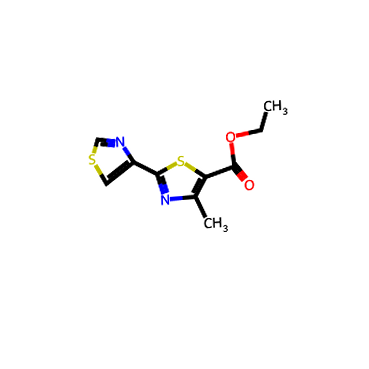 CCOC(=O)c1sc(-c2cscn2)nc1C